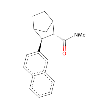 CNC(=O)[C@H]1C2CCC(C2)[C@@H]1c1ccc2ccccc2c1